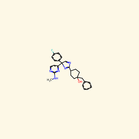 CNc1nccc(C2(c3ccc(F)cc3)C=NC(C3CCC(O)(Cc4ccccc4)CC3)=N2)n1